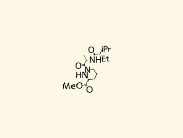 CC[C@H](C(=O)NC(C)C(=O)N1CCCC(C(=O)OC)N1)C(C)C